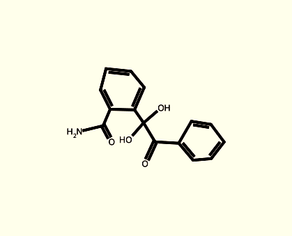 NC(=O)c1ccccc1C(O)(O)C(=O)c1ccccc1